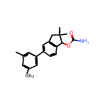 Cc1cc(-c2ccc3c(c2)CC(C)(C)C3OC(N)=O)cc(C(C)(C)C)c1